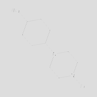 CCN1CCN(C2CCC(C(C)(C)C)CC2)CC1